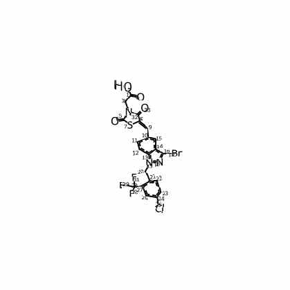 O=C(O)CN1C(=O)S/C(=C\c2ccc3c(c2)c(Br)nn3Cc2ccc(Cl)cc2C(F)(F)F)C1=O